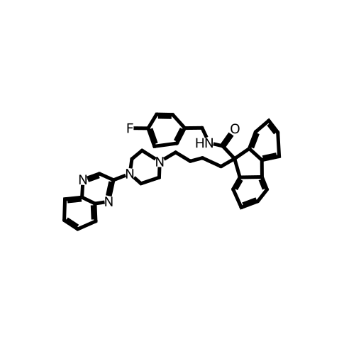 O=C(NCc1ccc(F)cc1)C1(CCCCN2CCN(c3cnc4ccccc4n3)CC2)c2ccccc2-c2ccccc21